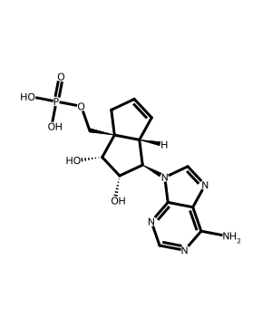 Nc1ncnc2c1ncn2[C@H]1[C@H](O)[C@H](O)[C@]2(COP(=O)(O)O)CC=C[C@H]12